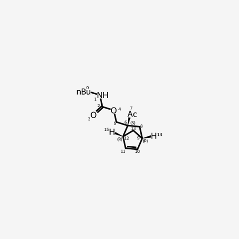 CCCCNC(=O)OC[C@]1(C(C)=O)C[C@@H]2C=C[C@H]1C2